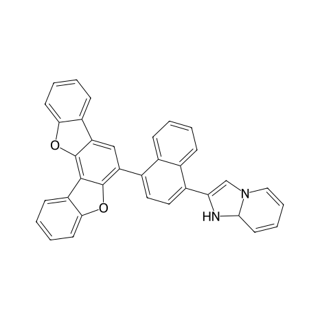 C1=CC2NC(c3ccc(-c4cc5c6ccccc6oc5c5c4oc4ccccc45)c4ccccc34)=CN2C=C1